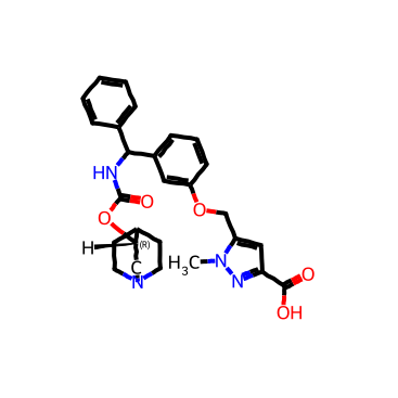 Cn1nc(C(=O)O)cc1COc1cccc(C(NC(=O)O[C@H]2CN3CCC2CC3)c2ccccc2)c1